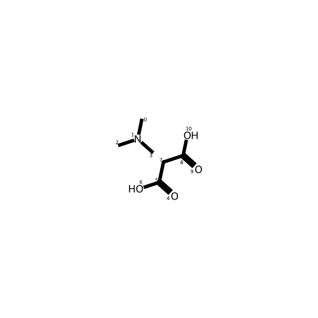 CN(C)C.O=C(O)CC(=O)O